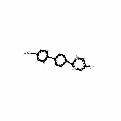 CCCCCCCCc1cnc(-c2ccc(-c3ccc(CCCCCC)cc3)cc2)nc1